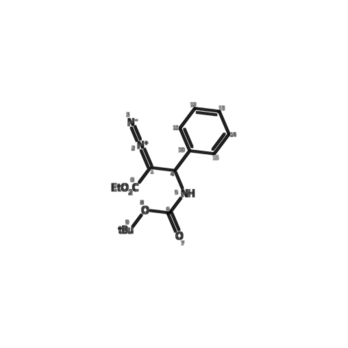 CCOC(=O)C(=[N+]=[N-])C(NC(=O)OC(C)(C)C)c1ccccc1